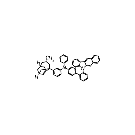 C[C@H]1C[C@@H]2CC3=C[C@@H](C2)CC3(c2cccc(N(c3ccccc3)c3ccc(-c4ccccc4-n4c5ccccc5c5cc6ccccc6cc54)cc3)c2)C1